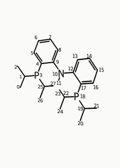 CC(C)P(c1ccccc1N(C)c1ccccc1P(C(C)C)C(C)C)C(C)C